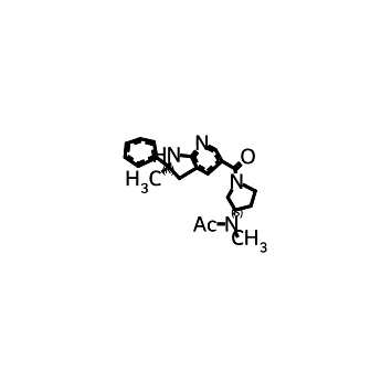 CC(=O)N(C)[C@H]1CCN(C(=O)c2cnc3c(c2)C[C@](C)(c2ccccc2)N3)C1